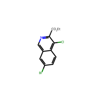 CCOC(=O)c1ncc2cc(Br)ccc2c1Cl